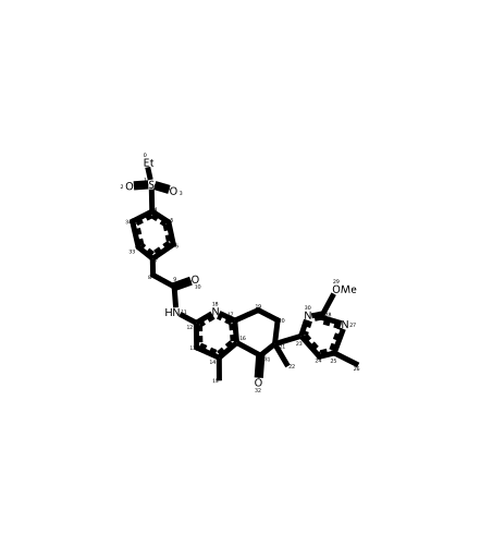 CCS(=O)(=O)c1ccc(CC(=O)Nc2cc(C)c3c(n2)CCC(C)(c2cc(C)nc(OC)n2)C3=O)cc1